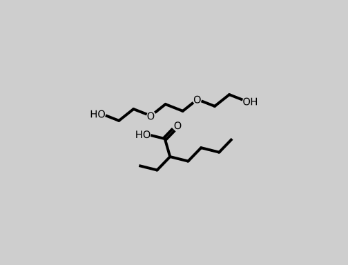 CCCCC(CC)C(=O)O.OCCOCCOCCO